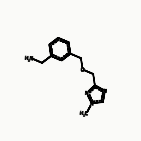 Cn1cnc(COCc2cccc(CN)c2)n1